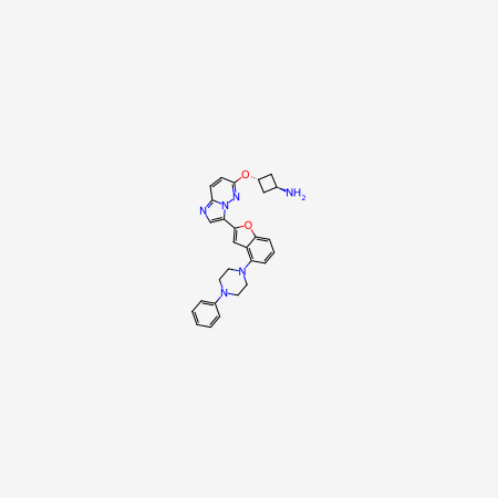 N[C@H]1C[C@H](Oc2ccc3ncc(-c4cc5c(N6CCN(c7ccccc7)CC6)cccc5o4)n3n2)C1